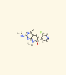 CCNc1nc(C)c2cc(-c3ccncc3F)c(=O)n(CC)c2n1